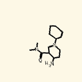 CN(C)C(=O)C1CN(C2CCCCC2)CCC1N